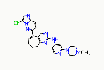 CN1CCN(c2cc(Nc3ncc4c(n3)CCCC=C4c3ccc4ncc(Cl)n4n3)ccn2)CC1